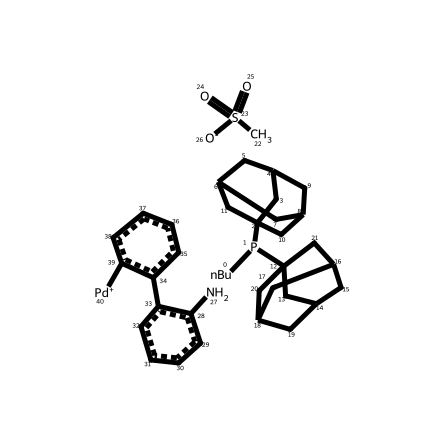 CCCCP(C12CC3CC(CC(C3)C1)C2)C12CC3CC(CC(C3)C1)C2.CS(=O)(=O)[O-].Nc1ccccc1-c1cccc[c]1[Pd+]